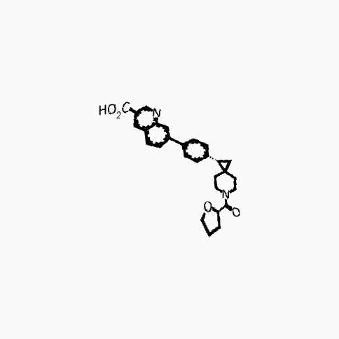 O=C(O)c1cnc2cc(-c3ccc([C@@H]4CC45CCN(C(=O)[C@H]4CCCO4)CC5)cc3)ccc2c1